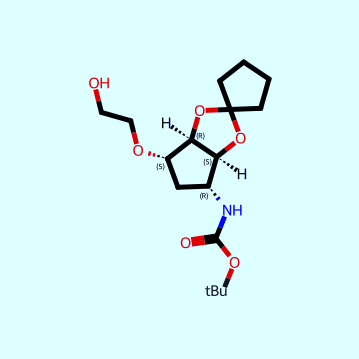 CC(C)(C)OC(=O)N[C@@H]1C[C@H](OCCO)[C@H]2OC3(CCCC3)O[C@H]21